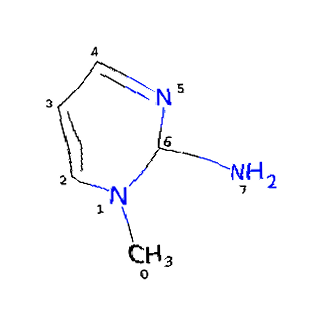 CN1C=CC=NC1N